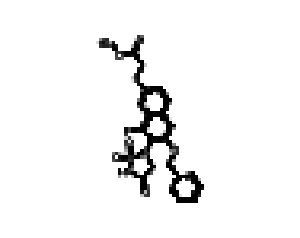 CC(C)(C)OC(=O)COc1ccc2cc(OCc3ccccc3)c(N3CC(=O)NS3(=O)=O)c(F)c2c1